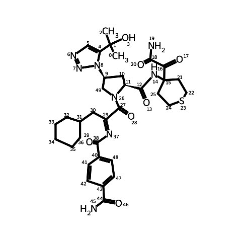 CC(C)(O)c1cnnn1[C@H]1C[C@@H](C(=O)NC2(C(=O)C(N)=O)CCSCC2)N(C(=O)/C(CC2CCCCC2)=N/C(=O)c2ccc(C(N)=O)cc2)C1